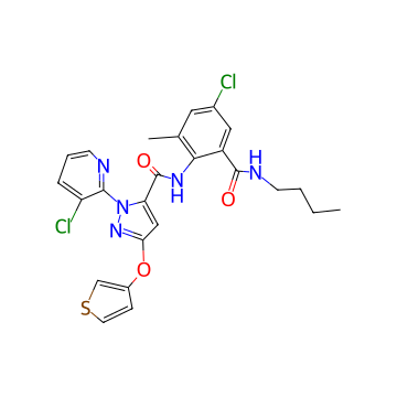 CCCCNC(=O)c1cc(Cl)cc(C)c1NC(=O)c1cc(Oc2ccsc2)nn1-c1ncccc1Cl